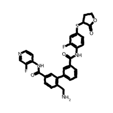 NCc1ccc(C(=O)Nc2ccncc2F)cc1-c1cccc(C(=O)Nc2ccc(SC3CCOC3=O)cc2F)c1